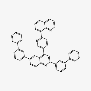 c1ccc(-c2cccc(-c3ccc4nc(-c5cccc(-c6ccccc6)c5)cc(-c5ccc(-c6cccc7cccnc67)nc5)c4c3)c2)cc1